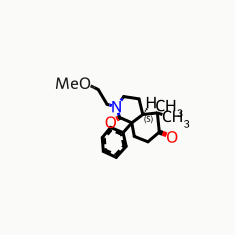 COCCN1CC[C@H]2C(C)(C)C(=O)CCC2(c2ccccc2)C1=O